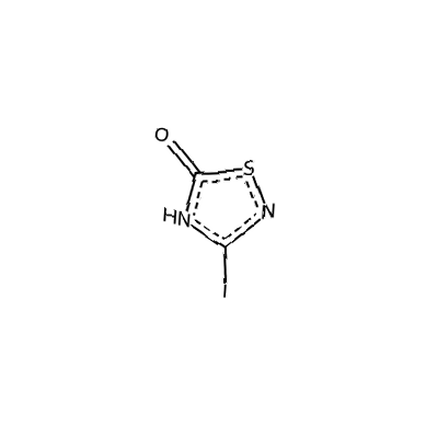 O=c1[nH]c(I)ns1